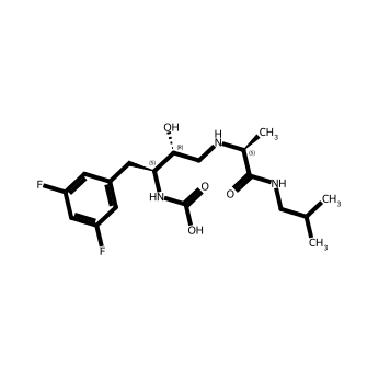 CC(C)CNC(=O)[C@H](C)NC[C@@H](O)[C@H](Cc1cc(F)cc(F)c1)NC(=O)O